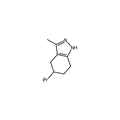 Cc1n[nH]c2c1CC(C(C)C)CC2